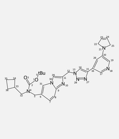 CC(C)(C)OC(=O)N(Cc1ccc2nc(Cn3cc(-c4cncc(N5CC=CC5)c4)nn3)cn2c1)CC1CCC1